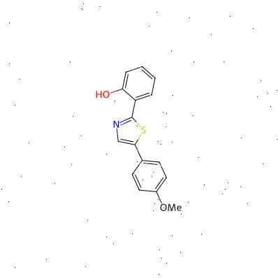 COc1ccc(-c2cnc(-c3ccccc3O)s2)cc1